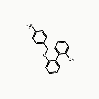 Bc1ccc(COc2ccccc2-c2ccccc2O)cc1